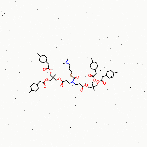 CC1CCC(CC(=O)OCC(C)(COC(=O)CCN(CCC(=O)OCC(C)(COC(=O)CC2CCC(C)CC2)COC(=O)CC2CCC(C)CC2)C(=O)SCCCN(C)C)COC(=O)CC2CCC(C)CC2)CC1